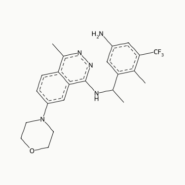 Cc1c(C(C)Nc2nnc(C)c3ccc(N4CCOCC4)cc23)cc(N)cc1C(F)(F)F